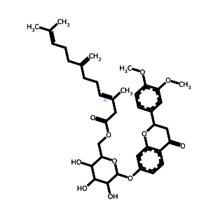 C=C(CCC=C(C)C)CC/C=C(\C)CC(=O)OCC1OC(Oc2ccc3c(c2)OC(c2ccc(OC)c(OC)c2)CC3=O)C(O)C(O)C1O